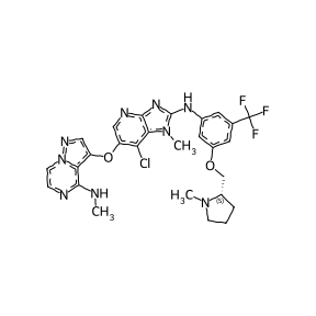 CNc1nccn2ncc(Oc3cnc4nc(Nc5cc(OC[C@@H]6CCCN6C)cc(C(F)(F)F)c5)n(C)c4c3Cl)c12